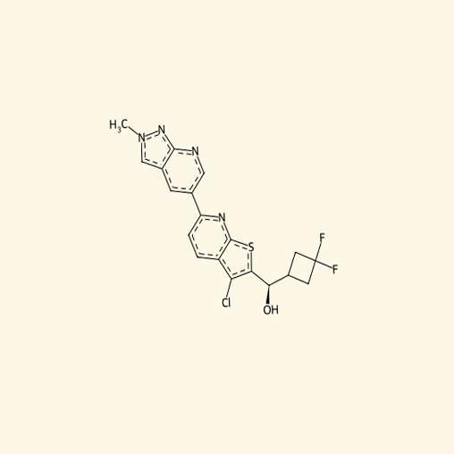 Cn1cc2cc(-c3ccc4c(Cl)c([C@H](O)C5CC(F)(F)C5)sc4n3)cnc2n1